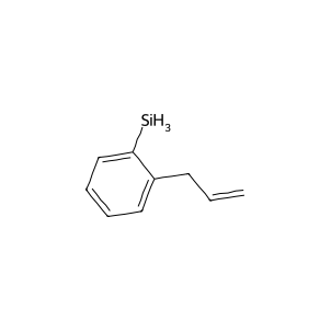 C=CCc1ccccc1[SiH3]